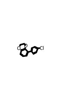 Clc1ccc(-c2cccc3c2OCCO3)cc1